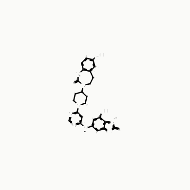 CC(=O)N(c1cc(C)c2c(c1)oc(=O)n2C)c1cc(N2CCC(N3CCc4cc(O)ccc4NC3=O)CC2)ncn1